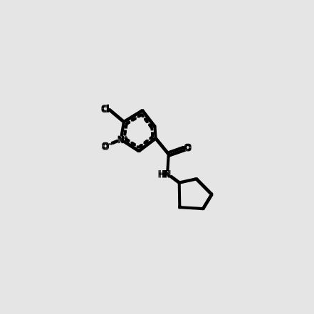 O=C(NC1CCCC1)c1ccc(Cl)[n+]([O-])c1